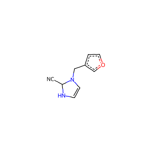 N#CC1NC=CN1Cc1ccoc1